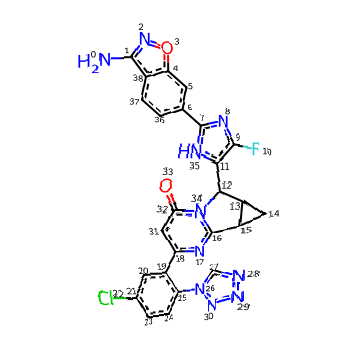 Nc1noc2cc(-c3nc(F)c(C4C5CC5c5nc(-c6cc(Cl)ccc6-n6cnnn6)cc(=O)n54)[nH]3)ccc12